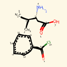 CC(C)[C@H](N)C(=O)O.O=C(Cl)c1ccccc1